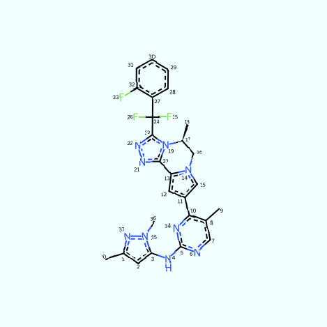 Cc1cc(Nc2ncc(C)c(-c3cc4n(c3)C[C@H](C)n3c-4nnc3C(F)(F)c3ccccc3F)n2)n(C)n1